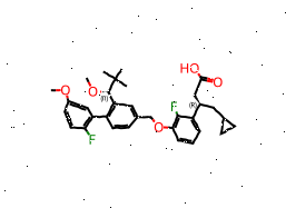 COc1ccc(F)c(-c2ccc(COc3cccc([C@@H](CC(=O)O)CC4CC4)c3F)cc2[C@H](OC)C(C)(C)C)c1